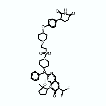 CC1(O)CCCC1n1c(=O)c(C(F)F)cc2cnc(N(c3ccccc3)C3CCN(S(=O)(=O)CCN4CCC(Oc5ccc(C6CCC(=O)NC6=O)cc5)CC4)CC3)nc21